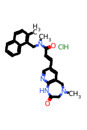 Cc1ccc2ccccc2c1CN(C)C(=O)/C=C/c1cnc2c(c1)CN(C)CC(=O)N2.Cl